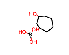 OB(O)O.OC1CCCCCC1